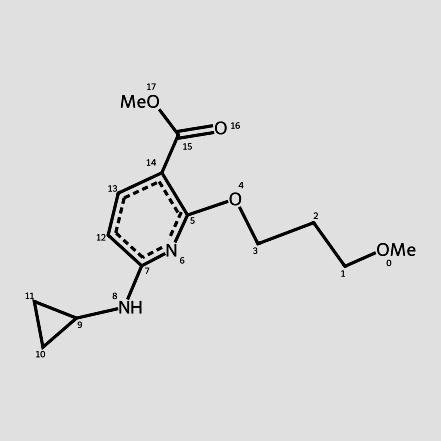 COCCCOc1nc(NC2CC2)ccc1C(=O)OC